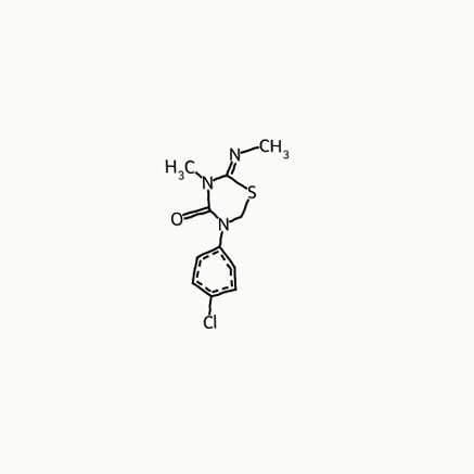 CN=C1SCN(c2ccc(Cl)cc2)C(=O)N1C